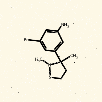 CN1SCCC1(C)c1cc(N)cc(Br)c1